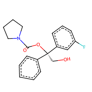 O=C(O[C@](CO)(c1ccccc1)c1cccc(F)c1)N1CCCC1